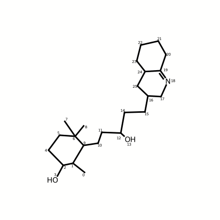 CC1C(O)CCC(C)(C)C1CCC(O)CCC1CN=C2CCCCC2C1